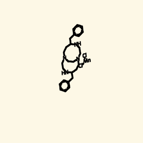 [Cl][Mn][Cl].c1ccc(CC2CCN3CCNC(Cc4ccccc4)CCN(CCN2)CC3)cc1